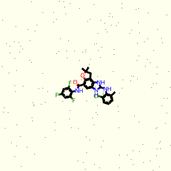 Cc1cccc(Cl)c1NC1Nc2cc(C(=O)Nc3c(F)cc(F)cc3F)c3c(c2N1)CC(C)(C)O3